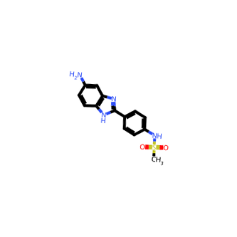 CS(=O)(=O)Nc1ccc(-c2nc3cc(N)ccc3[nH]2)cc1